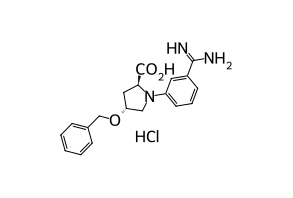 Cl.N=C(N)c1cccc(N2C[C@H](OCc3ccccc3)C[C@H]2C(=O)O)c1